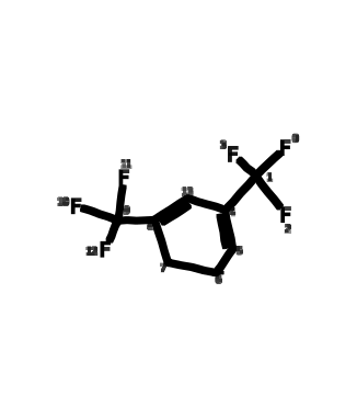 FC(F)(F)C1=C[CH]CC(C(F)(F)F)=C1